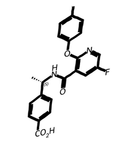 C[C@H](NC(=O)c1cc(F)cnc1Oc1ccc(F)cc1)c1ccc(C(=O)O)cc1